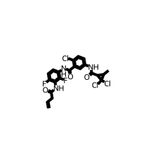 C=CCC(=O)Nc1c(F)ccc(NC(=O)c2cc(NC(=O)C3C(C)C3(Cl)Cl)ccc2Cl)c1F